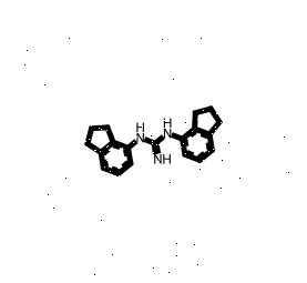 N=C(Nc1cccc2c1CCC2)Nc1cccc2c1CCC2